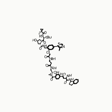 Cc1ncsc1-c1ccc(CNC(=O)[C@@H]2C[C@@H](O)CN2C(=O)[C@@H](NC(=O)C2(F)CC2)C(C)(C)C)c(OCC(=O)NCCC(=O)NCCN(C)C(=O)c2ccc(/C(O)=C/C(=N)C(=O)NC3CCc4ccccc43)cc2O)c1